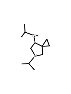 CC(C)N[C@@H]1CN(C(C)C)CC12CC2